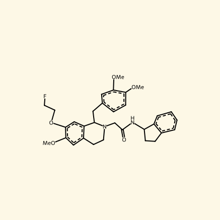 COc1ccc(CC2c3cc(OCCF)c(OC)cc3CCN2CC(=O)NC2CCc3ccccc32)cc1OC